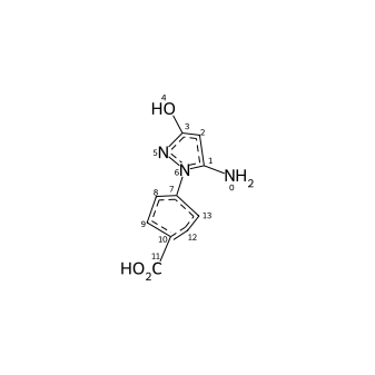 Nc1cc(O)nn1-c1ccc(C(=O)O)cc1